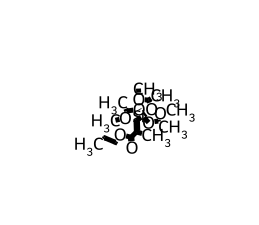 CCCOC(=O)C(C)=C[Si](OC(C)OC)(OC(C)OC)OC(C)OC